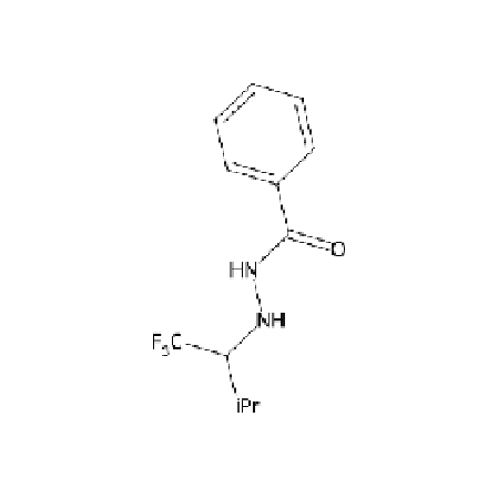 CC(C)C(NNC(=O)c1ccccc1)C(F)(F)F